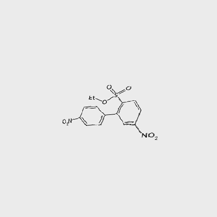 CCOS(=O)(=O)c1ccc([N+](=O)[O-])cc1-c1ccc([N+](=O)[O-])cc1